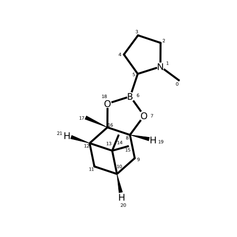 CN1CCCC1B1O[C@@H]2C[C@@H]3C[C@@H](C3(C)C)[C@]2(C)O1